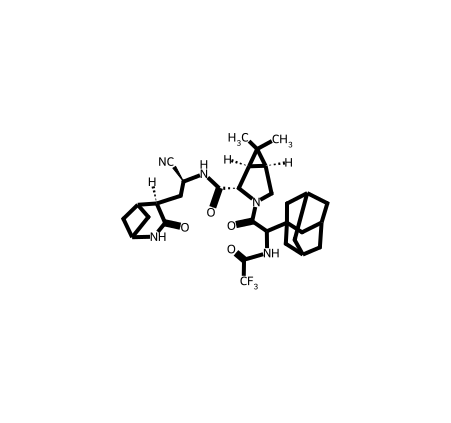 CC1(C)[C@@H]2[C@@H](C(=O)N[C@H](C#N)C[C@H]3C(=O)NC4CC3C4)N(C(=O)C(NC(=O)C(F)(F)F)C34CC5CC(CC(C5)C3)C4)C[C@@H]21